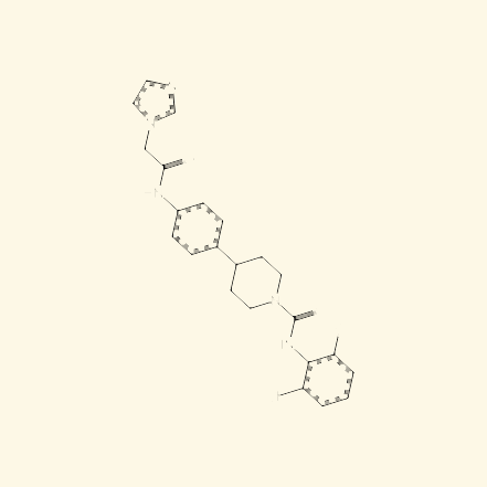 O=C(Cn1ccnc1)Nc1ccc(C2CCN(C(=O)Nc3c(Cl)cccc3Cl)CC2)cc1